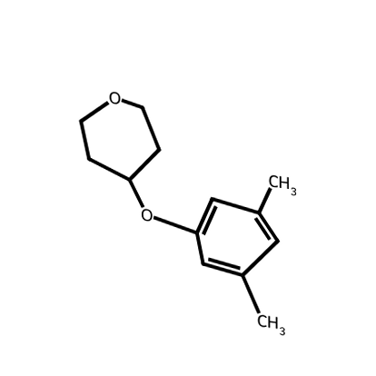 Cc1cc(C)cc(OC2CCOCC2)c1